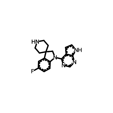 Fc1ccc2c(c1)C1(CCNCC1)CN2c1ncnc2[nH]ccc12